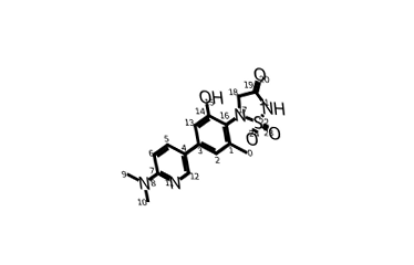 Cc1cc(-c2ccc(N(C)C)nc2)cc(O)c1N1CC(=O)NS1(=O)=O